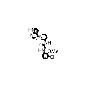 COc1c(Cl)cccc1NCC(=O)NC1CCCN(c2ncnc3[nH]ccc23)C1